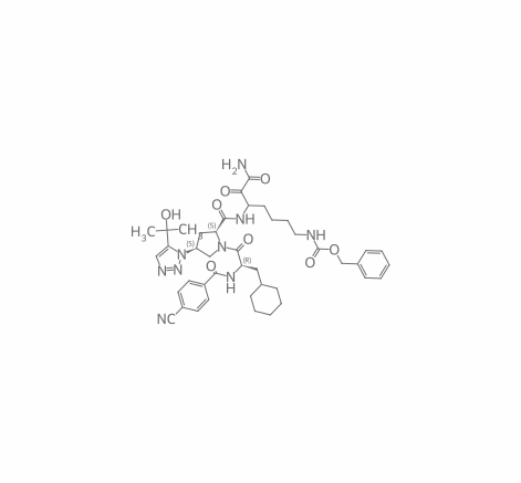 CC(C)(O)c1cnnn1[C@H]1C[C@@H](C(=O)NC(CCCCNC(=O)OCc2ccccc2)C(=O)C(N)=O)N(C(=O)[C@@H](CC2CCCCC2)NC(=O)c2ccc(C#N)cc2)C1